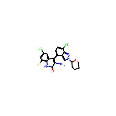 Nc1c(-c2ccc(Cl)c3nn(C4CCCCO4)cc23)c2cc(Cl)cc(Br)c2[nH]c1=O